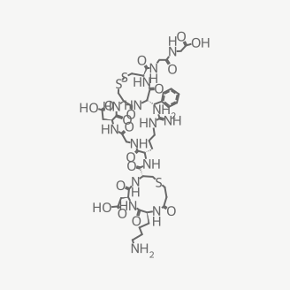 N=C(N)NCCC[C@H](NC(=O)[C@@H]1CSCCC(=O)N[C@@H](CCCCN)C(=O)N[C@@H](CC(=O)O)C(=O)N1)C(=O)NCC(=O)N[C@@H](CC(=O)O)C(=O)N[C@H]1CSSC[C@@H](C(=O)NCC(=O)NCC(=O)O)NC(=O)[C@H](Cc2ccccc2)NC1=O